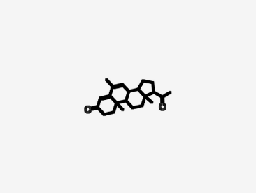 CC(=O)C1CCC2C3C=C(C)C4=CC(=O)CCC4(C)C3CCC12C